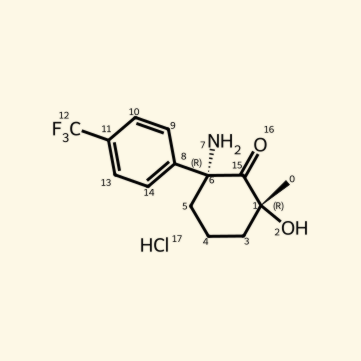 C[C@@]1(O)CCC[C@@](N)(c2ccc(C(F)(F)F)cc2)C1=O.Cl